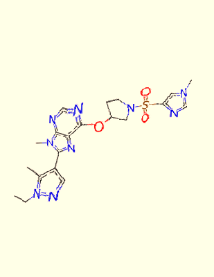 CCn1ncc(-c2nc3c(OC4CCN(S(=O)(=O)c5cn(C)cn5)C4)ncnc3n2C)c1C